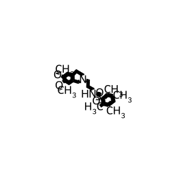 COc1cc2c(cc1OC)CN(CCCNS(=O)(=O)c1c(C)c(C)cc(C)c1C)CC2